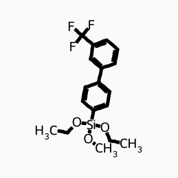 CCO[Si](OC)(OCC)c1ccc(-c2cccc(C(F)(F)F)c2)cc1